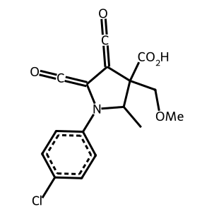 COCC1(C(=O)O)C(=C=O)C(=C=O)N(c2ccc(Cl)cc2)C1C